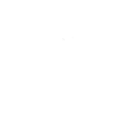 C=C(CC)CCC1CCC(CCc2ccc(-c3ccc(CCC)cn3)cc2)CC1